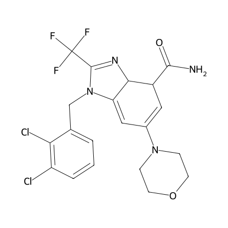 NC(=O)C1C=C(N2CCOCC2)C=C2C1N=C(C(F)(F)F)N2Cc1cccc(Cl)c1Cl